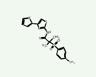 Cc1ccc(S(=O)(=O)C(C)(C)C(=O)Nc2nc(-c3cccs3)cs2)cc1